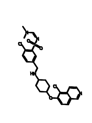 CN(C)/C=N\S(=O)(=O)c1cc(CNC2CCC(Oc3ccc4cnccc4c3Cl)CC2)ccc1Cl